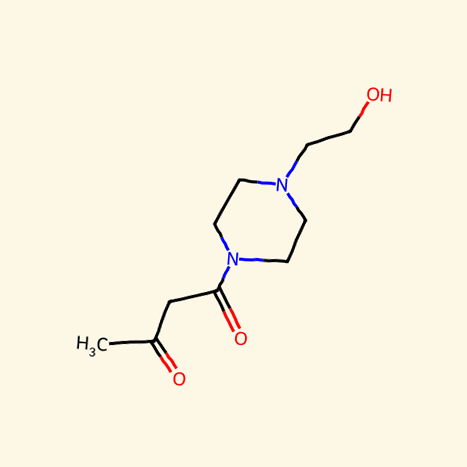 CC(=O)CC(=O)N1CCN(CCO)CC1